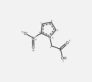 O=C(O)Cn1cccc1[N+](=O)[O-]